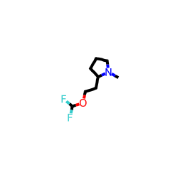 CN1CCCC1CCOC(F)F